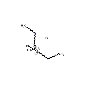 Br.CCCCCCCC/C=C\CCCCCCCC(=O)OCC(C)(OC(=O)CCCCCCC/C=C\CCCCCCCC)C(C)(N)CCCO